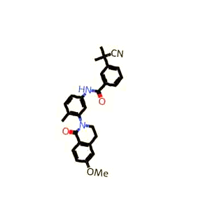 COc1ccc2c(c1)CCN(c1cc(NC(=O)c3cccc(C(C)(C)C#N)c3)ccc1C)C2=O